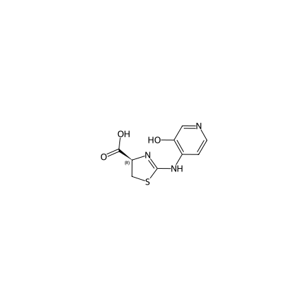 O=C(O)[C@@H]1CSC(Nc2ccncc2O)=N1